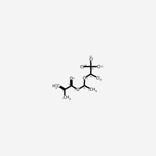 C=C(C)C(=O)OC(C)OC(Cl)C(Cl)(Cl)Cl